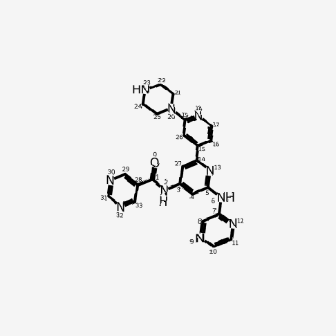 O=C(Nc1cc(Nc2cnccn2)nc(-c2ccnc(N3CCNCC3)c2)c1)c1cncnc1